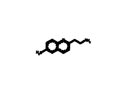 Bc1ccc2nc(CCN)ccc2c1